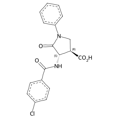 O=C(N[C@@H]1C(=O)N(c2ccccc2)C[C@H]1C(=O)O)c1ccc(Cl)cc1